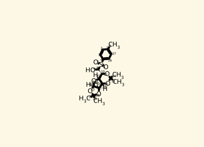 Cc1ccc(S(=O)(=O)C(O)[C@@H]2OC(C)(C)O[C@@H]3[C@H]4OC(C)(C)O[C@H]4O[C@@H]32)cc1